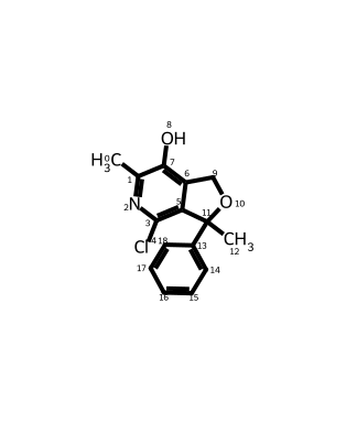 Cc1nc(Cl)c2c(c1O)COC2(C)c1ccccc1